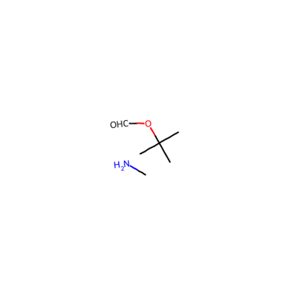 CC(C)(C)OC=O.CN